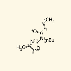 CC=CC(=O)N(CCCC)c1nc(C)co1